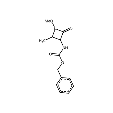 CON1C(=O)C(NC(=O)OCc2ccccc2)C1C